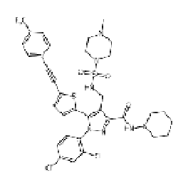 CN1CCN(S(=O)(=O)NCc2c(C(=O)NN3CCCCC3)nn(-c3ccc(Cl)cc3Cl)c2-c2ccc(C#Cc3ccc(C(F)(F)F)cc3)s2)CC1